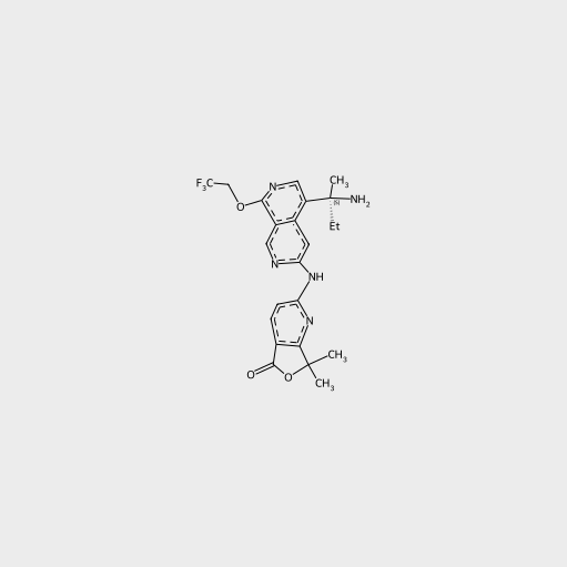 CC[C@](C)(N)c1cnc(OCC(F)(F)F)c2cnc(Nc3ccc4c(n3)C(C)(C)OC4=O)cc12